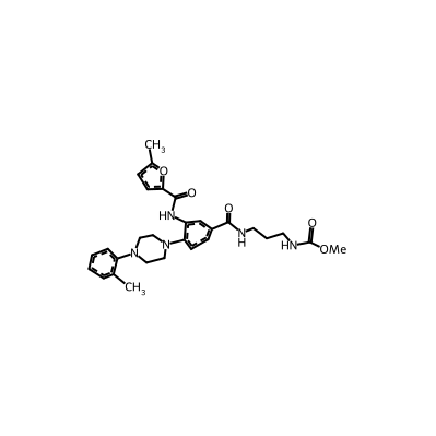 COC(=O)NCCCNC(=O)c1ccc(N2CCN(c3ccccc3C)CC2)c(NC(=O)c2ccc(C)o2)c1